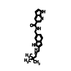 CC(C)(C)CNCc1cc2ccc(CNC(=O)c3cnc4[nH]ccc4c3)cc2[nH]1